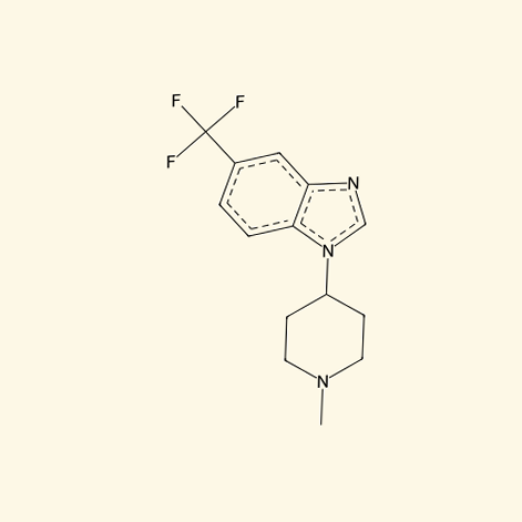 CN1CCC(n2cnc3cc(C(F)(F)F)ccc32)CC1